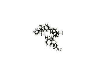 CC(=O)c1ccc(C2=CC=C=Cc3[nH]c(-c4n[nH]c5ccc(-c6cncc(NC(=O)C7CCCC7)c6)nc45)cc32)s1